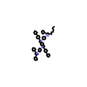 C\C=C/C=C\C=C(/C)c1cc(-c2ccccc2)n(-c2ccc(-n3c(-c4ccc(-c5ccccc5)cc4)cc4cc5c(cc(-c6ccc(-c7ccccc7)cc6)n5-c5ccc(-n6nc(-c7ccccc7)cc6-c6ccccc6)cc5)cc43)cc2)n1